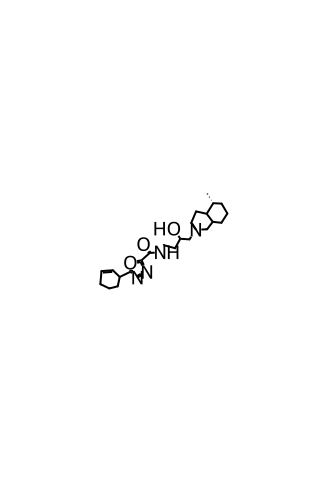 C[C@@H]1CCCC2CN(CC(O)CCNC(=O)c3nnc(C4C=CCCC4)o3)CCC21